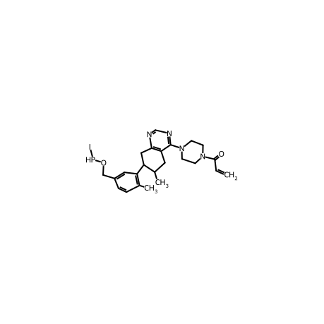 C=CC(=O)N1CCN(c2ncnc3c2CC(C)C(c2cc(COPI)ccc2C)C3)CC1